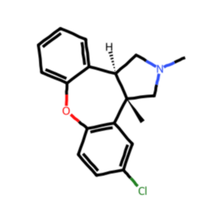 CN1C[C@@H]2c3ccccc3Oc3ccc(Cl)cc3[C@@]2(C)C1